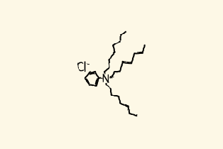 CCCCCCCC[N+](CCCCCCCC)(CCCCCCCC)c1ccccc1.[Cl-]